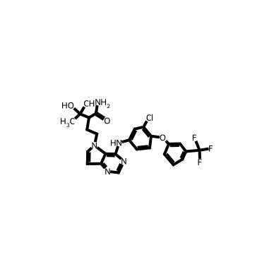 CC(C)(O)C(CCn1ccc2ncnc(Nc3ccc(Oc4cccc(C(F)(F)F)c4)c(Cl)c3)c21)C(N)=O